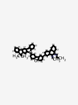 C=C/C=c1\c(=C/C)c2cc(-c3ccc4oc5ccc(-n6c7ccccc7c7cc8c(cc76)C(C)(C)c6ccccc6-8)cc5c4c3)ccc2c2ccccc12